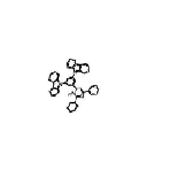 C1=C(c2ccccc2)N=C(c2ccccc2)NC1c1cc(-n2c3ccccc3c3ccccc32)cc(-n2c3ccccc3c3ccccc32)c1